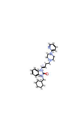 O=c1n(/C=C/CCN2CCN(c3ccccn3)CC2)c2ccccc2n1CC1CCCCC1